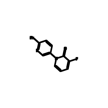 CC(C)c1ccc(-n2cccc(F)c2=O)cn1